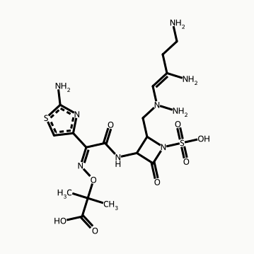 CC(C)(O/N=C(\C(=O)NC1C(=O)N(S(=O)(=O)O)C1CN(N)/C=C(\N)CCN)c1csc(N)n1)C(=O)O